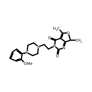 COc1ccccc1N1CCN(CCN2C(=O)N=C3C(=C(C)OC3C)C2=O)CC1